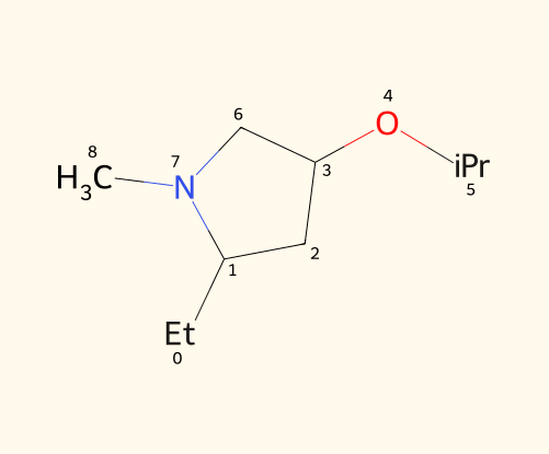 CCC1CC(OC(C)C)CN1C